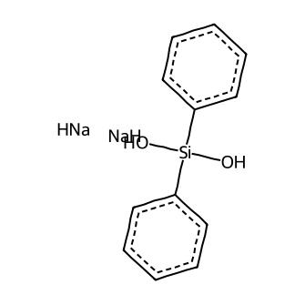 O[Si](O)(c1ccccc1)c1ccccc1.[NaH].[NaH]